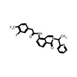 CC(c1ccccn1)n1ccc2c(NC(=O)Cc3ccc(C(F)(F)F)c(F)c3)cccc2c1=O